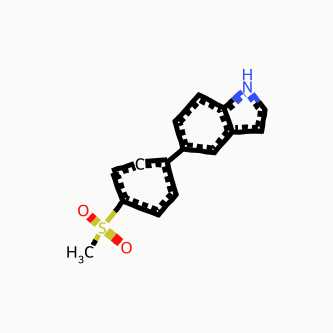 CS(=O)(=O)c1ccc(-c2ccc3[nH]ccc3c2)cc1